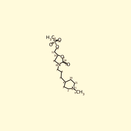 CN1CCC(CCCN2CC(COS(C)(=O)=O)OC2=O)CC1